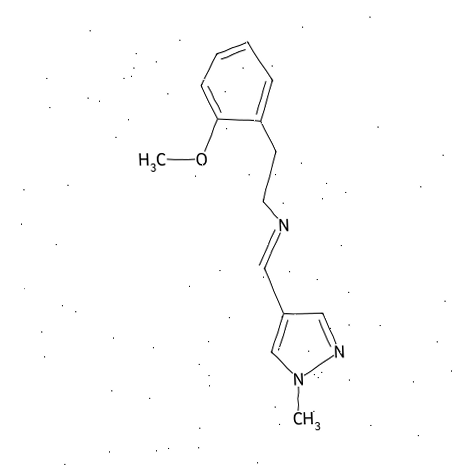 COc1ccccc1CCN=Cc1cnn(C)c1